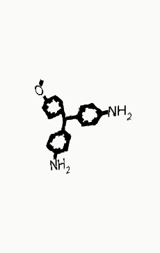 COc1ccc(C(c2ccc(N)cc2)c2ccc(N)cc2)cc1